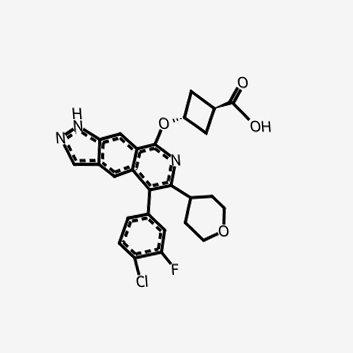 O=C(O)[C@H]1C[C@H](Oc2nc(C3CCOCC3)c(-c3ccc(Cl)c(F)c3)c3cc4cn[nH]c4cc23)C1